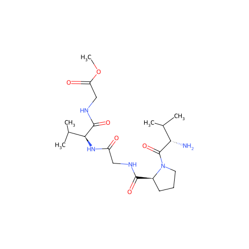 COC(=O)CNC(=O)[C@@H](NC(=O)CNC(=O)[C@@H]1CCCN1C(=O)[C@@H](N)C(C)C)C(C)C